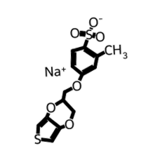 Cc1cc(OCC2COc3cscc3O2)ccc1S(=O)(=O)[O-].[Na+]